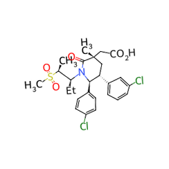 CC[C@@H]([C@H](C)S(C)(=O)=O)N1C(=O)[C@](C)(CC(=O)O)C[C@H](c2cccc(Cl)c2)[C@H]1c1ccc(Cl)cc1